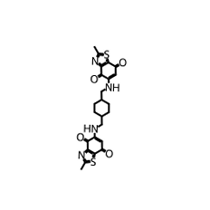 Cc1nc2c(s1)C(=O)C=C(NCC1CCC(CNC3=CC(=O)c4sc(C)nc4C3=O)CC1)C2=O